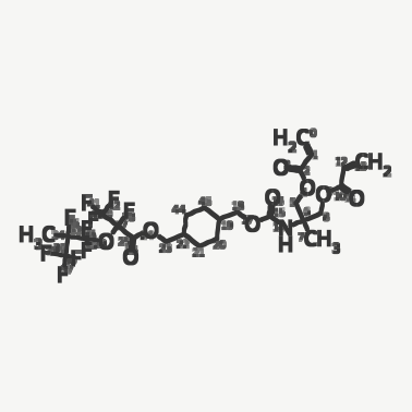 C=CC(=O)OCC(C)(COC(=O)C=C)NC(=O)OCC1CCC(COC(=O)C(F)(OC(F)(F)C(C)(F)C(F)(F)F)C(F)(F)F)CC1